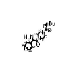 CCCCOC(=O)N1CCN(C(=O)C(N)C2CCOCC2)CC1